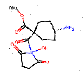 CCCCOC(=O)[C@]1(C(=O)[N+]2(O)C(=O)CCC2=O)CC[C@@H](N)CC1